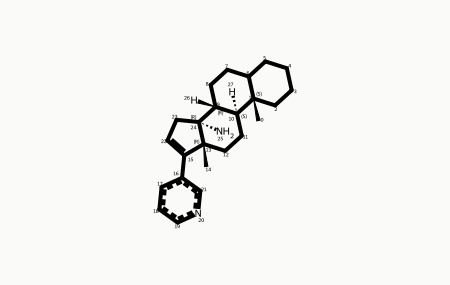 C[C@]12CCCCC1CC[C@@H]1[C@@H]2CC[C@]2(C)C(c3cccnc3)=CC[C@@]12N